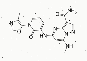 CNc1cc(Nc2cccn(-c3ocnc3C)c2=O)nc2c(C(N)=O)cnn12